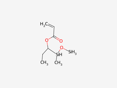 C=CC(=O)OC(CC)[SiH](C)O[SiH3]